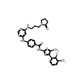 Cc1sc(NC(=O)c2ccc(Nc3cc(NCCCN4CCCC4=O)ncn3)cc2)nc1-c1cccc(C(F)(F)F)c1F